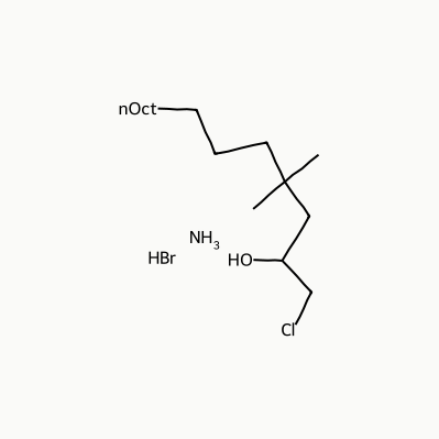 Br.CCCCCCCCCCCC(C)(C)CC(O)CCl.N